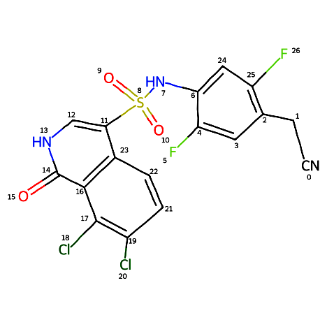 N#CCc1cc(F)c(NS(=O)(=O)c2c[nH]c(=O)c3c(Cl)c(Cl)ccc23)cc1F